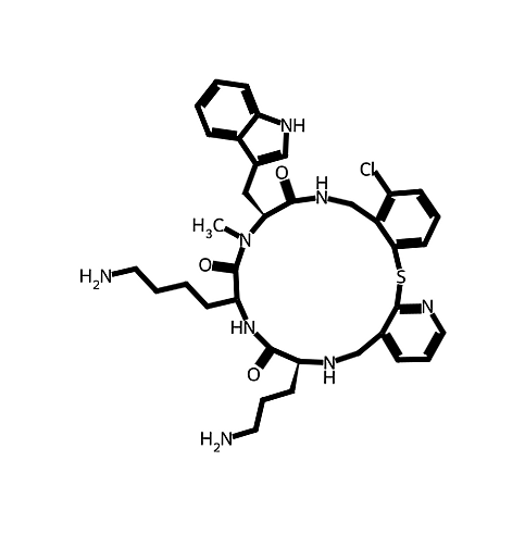 CN1C(=O)C(CCCCN)NC(=O)[C@H](CCCN)NCc2cccnc2Sc2cccc(Cl)c2CNC(=O)[C@@H]1Cc1c[nH]c2ccccc12